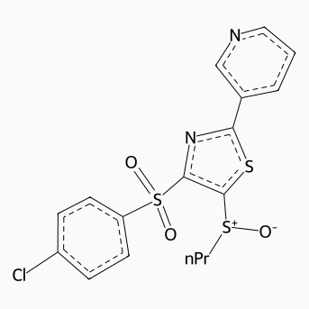 CCC[S+]([O-])c1sc(-c2cccnc2)nc1S(=O)(=O)c1ccc(Cl)cc1